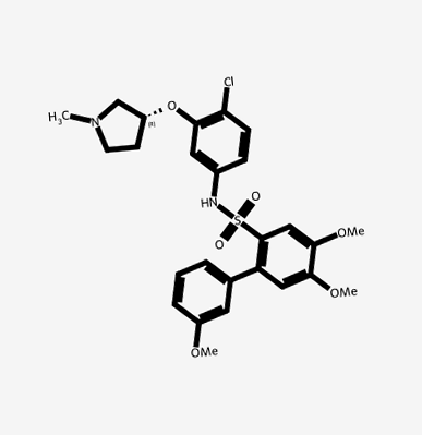 COc1cccc(-c2cc(OC)c(OC)cc2S(=O)(=O)Nc2ccc(Cl)c(O[C@@H]3CCN(C)C3)c2)c1